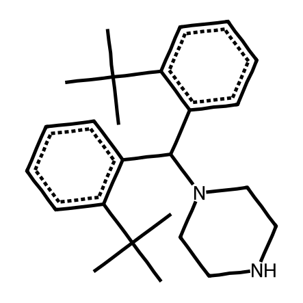 CC(C)(C)c1ccccc1C(c1ccccc1C(C)(C)C)N1CCNCC1